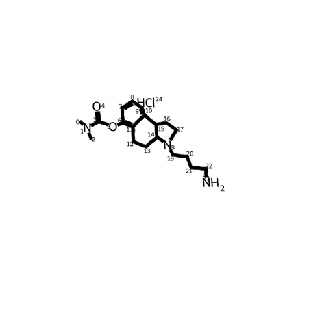 CN(C)C(=O)Oc1cccc2c1CCC1C2CCN1CCCCN.Cl